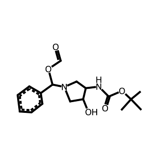 CC(C)(C)OC(=O)NC1CN(C(OC=O)c2ccccc2)CC1O